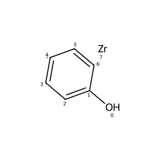 Oc1cc[c]cc1.[Zr]